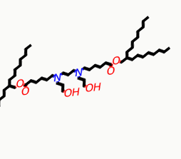 CCCCCCCCC(CCCCCCCC)COC(=O)CCCCCN(CCCO)CCCN(CCCO)CCCCCC(=O)OCC(CCCCCCCC)CCCCCCCC